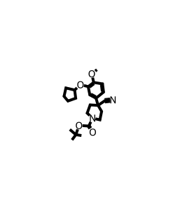 COc1ccc(C2(C#N)CCN(C(=O)OC(C)(C)C)CC2)cc1OC1CCCC1